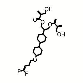 C=C(CO)C(=C)OCC(COC(=O)C(=C)CO)C1CCC(C2CCC(OCCC=C(F)F)CC2)CC1